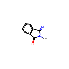 CCN1C(=N)c2ccccc2C1=O